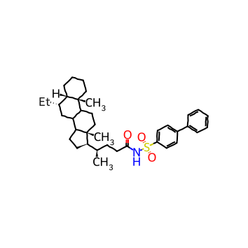 CC[C@H]1CC2C3CC[C@H]([C@H](C)CCC(=O)NS(=O)(=O)c4ccc(-c5ccccc5)cc4)[C@@]3(C)CCC2[C@@]2(C)CCCC[C@@H]12